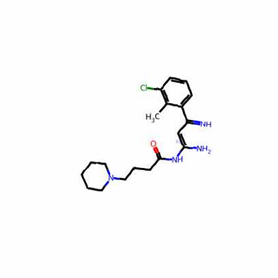 Cc1c(Cl)cccc1C(=N)/C=C(\N)NC(=O)CCCN1CCCCC1